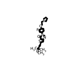 COC(C)(C)C#Cc1cc2ncn(-c3ccc(OCCN4CCCC4)c(F)c3)c(=O)c2s1